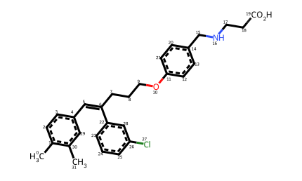 Cc1ccc(C=C(CCCOc2ccc(CNCCC(=O)O)cc2)c2cccc(Cl)c2)cc1C